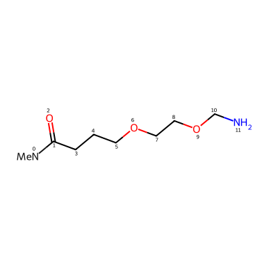 CNC(=O)CCCOCCOCN